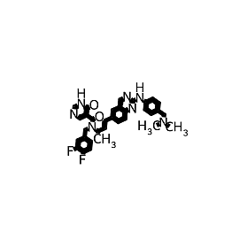 CC(/C=C/c1ccc2nc(Nc3ccc(CN(C)C)cc3)ncc2c1)N(Cc1ccc(F)c(F)c1)C(=O)c1cnc[nH]c1=O